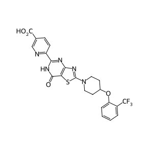 O=C(O)c1ccc(-c2nc3nc(N4CCC(Oc5ccccc5C(F)(F)F)CC4)sc3c(=O)[nH]2)nc1